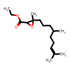 CCOC(=O)C1OC1(C)CCCC(C)CCC=C(C)C